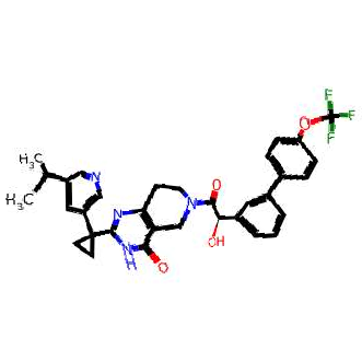 CC(C)c1cncc(C2(c3nc4c(c(=O)[nH]3)CN(C(=O)[C@H](O)c3cccc(-c5ccc(OC(F)(F)F)cc5)c3)CC4)CC2)c1